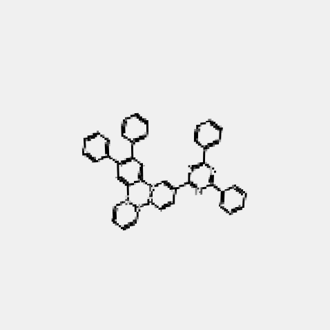 C1=CB2c3cc(-c4ccccc4)c(-c4ccccc4)cc3N3C=C(c4nc(-c5ccccc5)nc(-c5ccccc5)n4)C=CB3N2C=C1